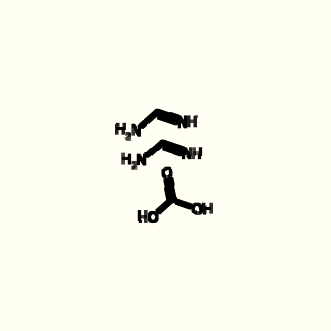 N=CN.N=CN.O=C(O)O